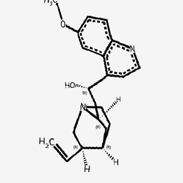 C=C[C@H]1CN2CC[C@@H]1C[C@@H]2[C@H](O)c1ccnc2ccc(OC)cc12